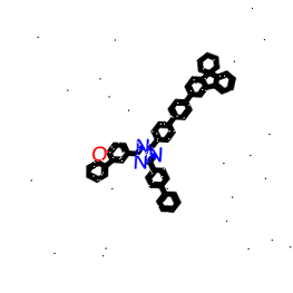 c1ccc(-c2ccc(-c3nc(-c4ccc(-c5ccc(-c6ccc7c(c6)-c6ccccc6C76CCCCC6)cc5)cc4)nc(-c4ccc5oc6ccccc6c5c4)n3)cc2)cc1